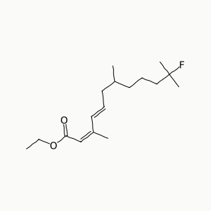 CCOC(=O)C=C(C)C=CCC(C)CCCC(C)(C)F